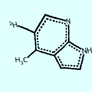 [2H]c1cnc2[nH]ccc2c1C